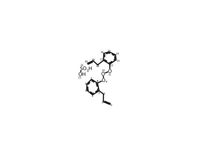 C=CCc1ccccc1OOOc1ccccc1CC=C.O=S(=O)(O)O